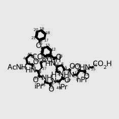 CCC[C@H](NC(=O)[C@@H]1C[C@@H](NC(=O)c2ccc(Oc3ccccc3)cc2)CN1C(=O)[C@@H](NC(=O)[C@@H](NC(=O)[C@H](CCC(=O)O)NC(=O)[C@H](CCC(=O)O)NC(C)=O)C(C)C)C(C)C)C(=O)C(=O)NCC(=O)O